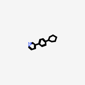 c1cncc(-c2ccc(C3CCCCC3)cc2)c1